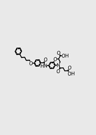 O=C(O)CCC(=O)N1CC(C(=O)O)Oc2cc(NC(=O)c3ccc(OCCCCc4ccccc4)cc3)ccc21